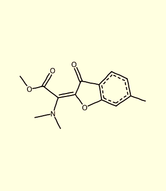 COC(=O)C(=C1Oc2cc(C)ccc2C1=O)N(C)C